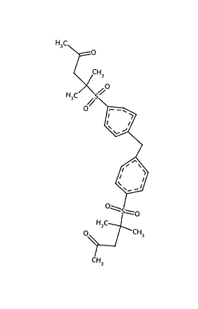 CC(=O)CC(C)(C)S(=O)(=O)c1ccc(Cc2ccc(S(=O)(=O)C(C)(C)CC(C)=O)cc2)cc1